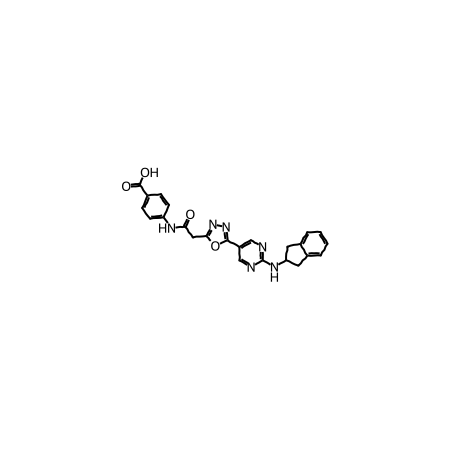 O=C(Cc1nnc(-c2cnc(NC3Cc4ccccc4C3)nc2)o1)Nc1ccc(C(=O)O)cc1